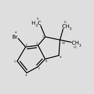 CC1c2c(Br)cccc2CC1(C)C